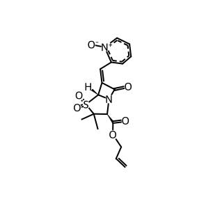 C=CCOC(=O)[C@@H]1N2C(=O)/C(=C\c3cccc[n+]3[O-])[C@H]2S(=O)(=O)C1(C)C